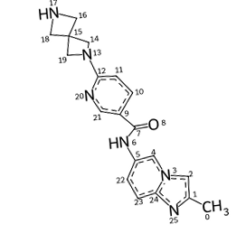 Cc1cn2cc(NC(=O)c3ccc(N4CC5(CNC5)C4)nc3)ccc2n1